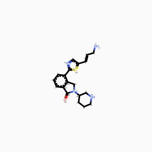 NC/C=C/c1cnc(-c2cccc3c2CN(C2CCCNC2)C3=O)s1